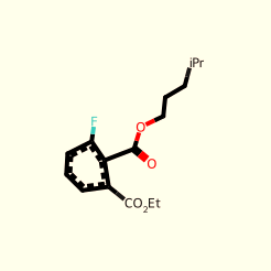 CCOC(=O)c1cccc(F)c1C(=O)OCCCC(C)C